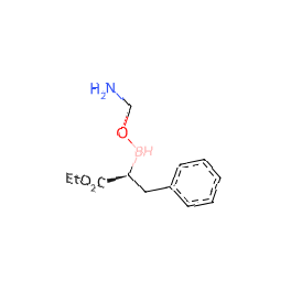 CCOC(=O)[C@@H](BOCN)Cc1ccccc1